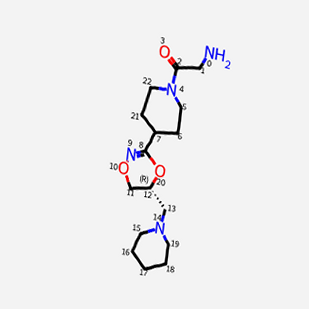 NCC(=O)N1CCC(C2=NOC[C@@H](CN3CCCCC3)O2)CC1